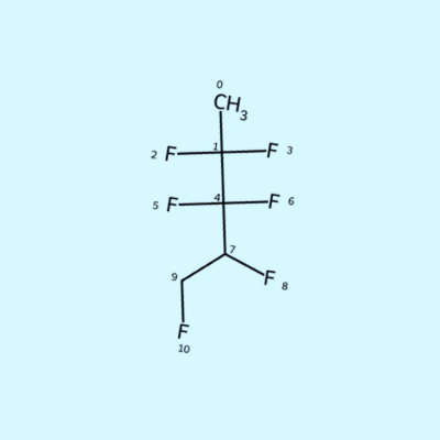 CC(F)(F)C(F)(F)C(F)CF